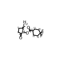 C=C1CCC(=O)N1OC(=O)C1CCC(F)(F)CC1